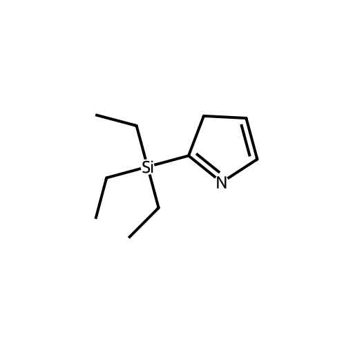 CC[Si](CC)(CC)C1=NC=CC1